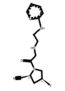 N#C[C@@H]1C[C@H](F)CN1C(=O)CNCCNc1ccccn1